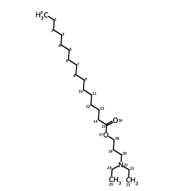 CCCCCCCCCCCCCCCC(=O)OCCCN(CC)CC